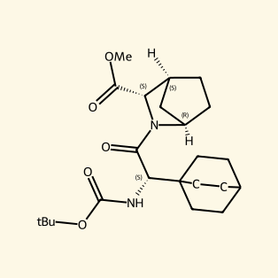 COC(=O)[C@@H]1[C@H]2CC[C@H](C2)N1C(=O)[C@@H](NC(=O)OC(C)(C)C)C12CCC(CC1)CC2